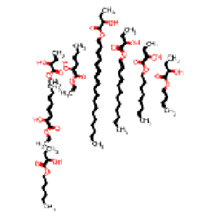 CCC(O)C(=O)OC.CCCCC(O)C(=O)OCC.CCCCCCC(O)C(=O)OCC.CCCCCCCCCCCCCCCCCCOC(=O)C(O)CC.CCCCCCCCCCCCOC(=O)C(O)CC.CCCCCCCCOC(=O)C(O)CC.CCCCCCOC(=O)C(O)CC.CCCCOC(=O)C(O)CC